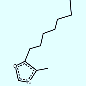 CCCCCCCc1ocnc1C